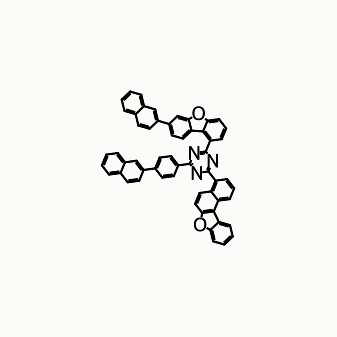 c1ccc2cc(-c3ccc(-c4nc(-c5cccc6c5ccc5oc7ccccc7c56)nc(-c5cccc6oc7cc(-c8ccc9ccccc9c8)ccc7c56)n4)cc3)ccc2c1